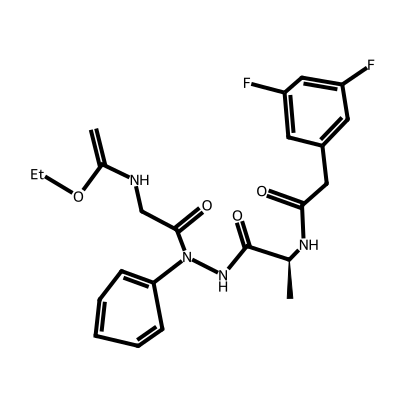 C=C(NCC(=O)N(NC(=O)[C@H](C)NC(=O)Cc1cc(F)cc(F)c1)c1ccccc1)OCC